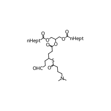 CCCCCCCC(=O)OCC(COC(=O)CCCCCCC)OC(=O)CCC(CCC=O)SC(=O)CCCN(C)C